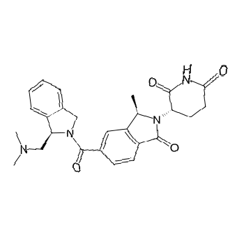 C[C@@H]1c2cc(C(=O)N3Cc4ccccc4[C@@H]3CN(C)C)ccc2C(=O)N1[C@H]1CCC(=O)NC1=O